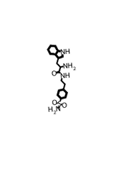 NC(Cc1c[nH]c2ccccc12)C(=O)NCCc1ccc(S(N)(=O)=O)cc1